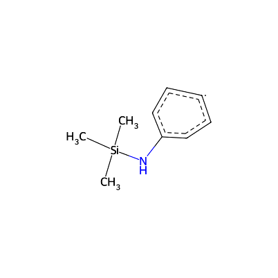 C[Si](C)(C)Nc1cc[c]cc1